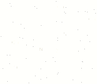 CC(C)(C)c1cc(N2c3cc(-c4cccc5cc6ccccc6cc45)cc4c3B(c3ccc5ccccc5c32)c2ccc3ccccc3c2N4c2cc(C(C)(C)C)cc(C(C)(C)C)c2)cc(C(C)(C)C)c1